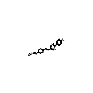 CCC/C=C/C1CCC(CCc2cnc(-c3ccc(Cl)c(F)c3)nc2)CC1